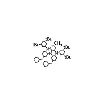 Cc1cc2c3c(c1)N(c1cc(C(C)(C)C)cc(C(C)(C)C)c1)c1ccc(Cc4ccccc4)cc1B3c1cc(Cc3ccccc3)ccc1N2c1cc(C(C)(C)C)cc(C(C)(C)C)c1